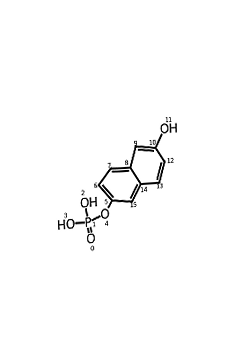 O=P(O)(O)Oc1ccc2cc(O)ccc2c1